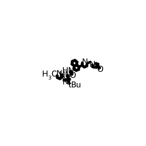 Cc1ccc(-n2nc(C(C)(C)C)cc2NC(=O)Nc2ccc(-c3ccc(CN4CC5CC4CC5=O)nc3)c3ccccc23)cn1